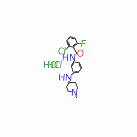 CN1CCC(Nc2cccc(NC(=O)c3c(F)cccc3Cl)c2)CC1.Cl.Cl